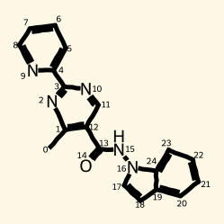 Cc1nc(-c2ccccn2)ncc1C(=O)Nn1ccc2ccccc21